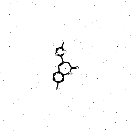 Cc1cnc(C2=Cc3ccc(Br)cc3NC(=O)C2)o1